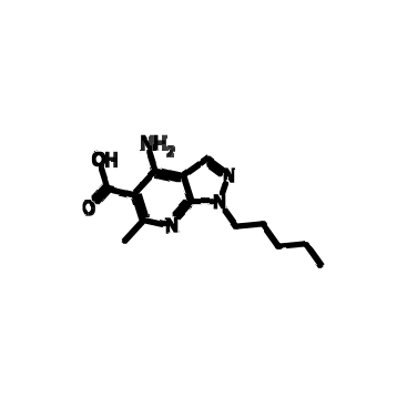 CCCCCn1ncc2c(N)c(C(=O)O)c(C)nc21